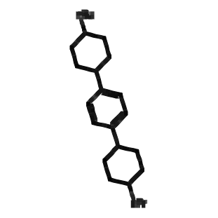 CCCCC1CCC(c2ccc(C3CCC(CCC)CC3)cc2)CC1